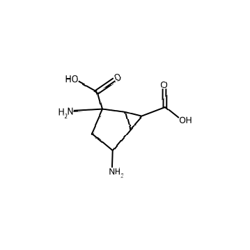 NC1CC(N)(C(=O)O)C2C(C(=O)O)C12